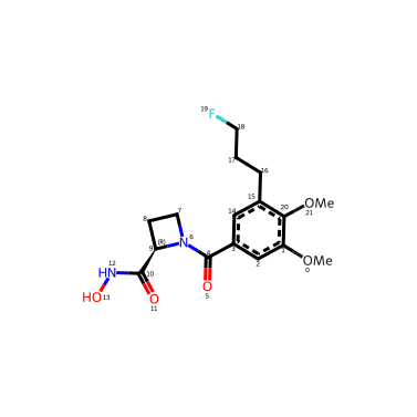 COc1cc(C(=O)N2CC[C@@H]2C(=O)NO)cc(CCCF)c1OC